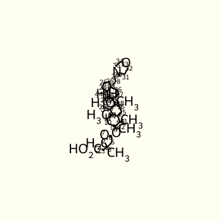 CC(C)(CC(=O)O)CC(=O)O[C@H]1CC[C@@]2(C)C(CC[C@]3(C)C2CC[C@@H]2[C@H]4CCC[C@]4(CCN4CCOCC4)CC[C@]23C)C1(C)C